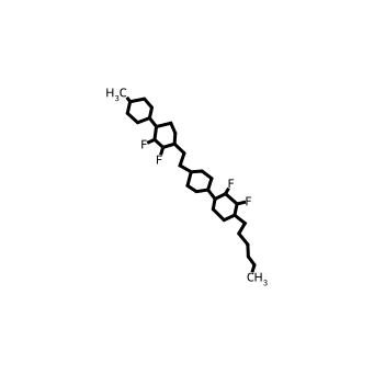 CCCCCCC1CCC(C2CCC(CCC3CCC(C4CCC(C)CC4)C(F)C3F)CC2)C(F)C1F